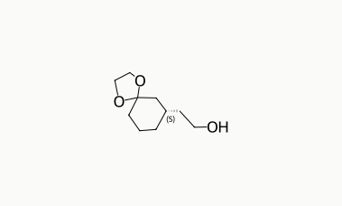 OCC[C@@H]1CCCC2(C1)OCCO2